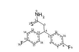 NC(=S)CC(c1ccc(F)cc1)c1ccc(F)cc1